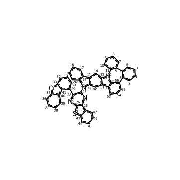 c1ccc2c(c1)-c1ccccc1-n1c3cc4c5ccccc5n(-c5nc6c(nc5-c5cccc7oc8ccccc8c57)sc5ccccc56)c4cc3c3cccc-2c31